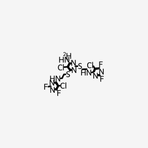 [2H]Nc1nc(SCCNc2nc(F)nc(F)c2Cl)nc(SCCNc2nc(F)nc(F)c2Cl)c1Cl